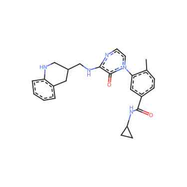 Cc1ccc(C(=O)NC2CC2)cc1-n1ccnc(NCC2CNc3ccccc3C2)c1=O